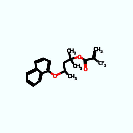 C=C(C(=O)OC(C)(C)CC(C)Oc1cccc2ccccc12)C(F)(F)F